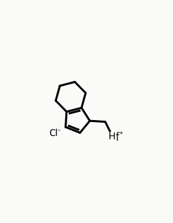 [Cl-].[Hf+][CH2]C1C=CC2=C1CCCC2